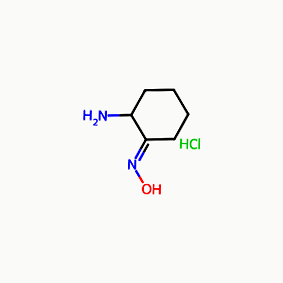 Cl.NC1CCCCC1=NO